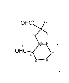 CC(C)(C=O)CN1CCCCC1C=O